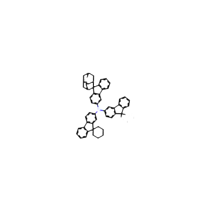 CC1(C)c2ccccc2-c2cc(N(c3ccc4c(c3)-c3ccccc3C43C4CCC5CC(C4)CC3C5)c3ccc4c(c3)C3(CCCCC3)c3ccccc3-4)ccc21